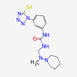 CN(CNC(=O)Nc1cccc(-n2nnnc2S)c1)N1CCCCC1